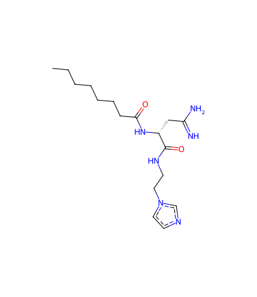 CCCCCCCC(=O)N[C@H](CC(=N)N)C(=O)NCCn1ccnc1